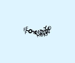 CC(C)C1N(c2ccnc(N[C@@H](C)c3cn(-c4ccc(C(F)(F)F)cc4)cn3)n2)C(=O)N(C)C12COC2